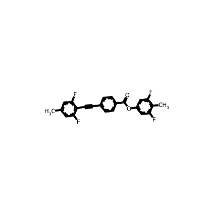 Cc1cc(F)c(C#Cc2ccc(C(=O)Oc3cc(F)c(C)c(F)c3)cc2)c(F)c1